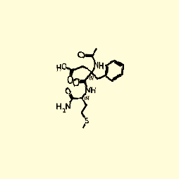 CSCC[C@H](NC(=O)[C@@](CC(=O)O)(Cc1ccccc1)NC(C)=O)C(N)=O